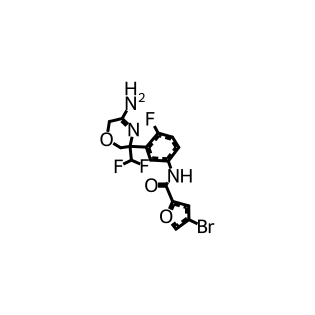 NC1=NC(c2cc(NC(=O)c3cc(Br)co3)ccc2F)(C(F)F)COC1